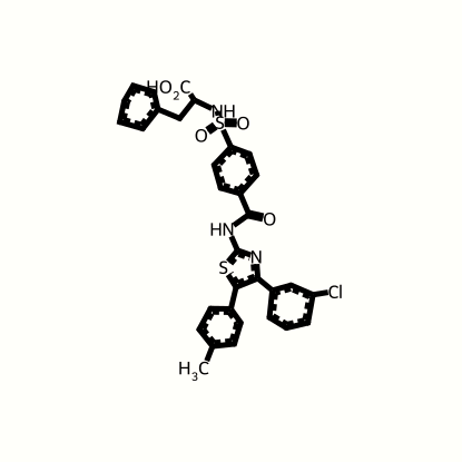 Cc1ccc(-c2sc(NC(=O)c3ccc(S(=O)(=O)NC(Cc4ccccc4)C(=O)O)cc3)nc2-c2cccc(Cl)c2)cc1